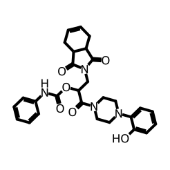 O=C(Nc1ccccc1)OC(CN1C(=O)C2CC=CCC2C1=O)C(=O)N1CCN(c2ccccc2O)CC1